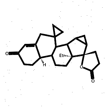 CC[C@]12CCC3C(C1C1CC1[C@@]21CCC(=O)O1)C1(CC1)CC1=CC(=O)CC[C@@H]13